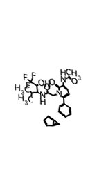 CC(=O)Nc1ccc(-c2ccccc2)n(CC(=O)NC(C(C)C)C(O)C(F)(F)F)c1=O.c1cc2cc-2c1